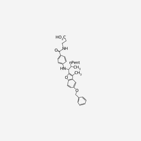 CCCCCC(C)C(Nc1ccc(C(=O)NCCC(=O)O)cc1)c1oc2ccc(OCc3ccccc3)cc2c1C